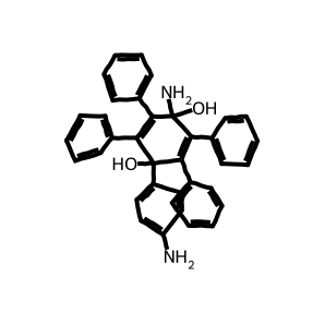 Nc1ccc(C2(O)C(c3ccccc3)=C(c3ccccc3)C(N)(O)C(c3ccccc3)=C2c2ccccc2)cc1